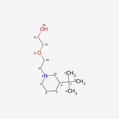 CC(C)(C)C1CCCN(CCOCCO)C1